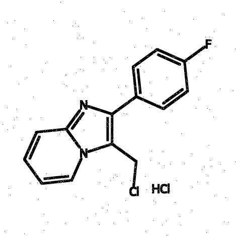 Cl.Fc1ccc(-c2nc3ccccn3c2CCl)cc1